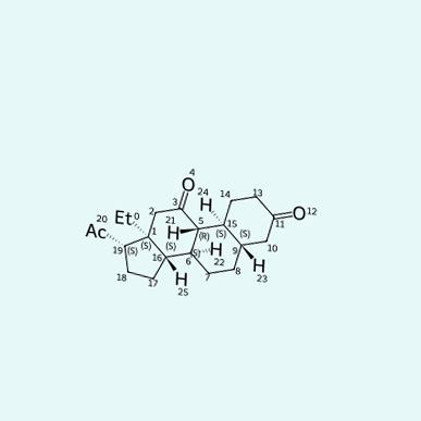 CC[C@]12CC(=O)[C@H]3[C@@H](CC[C@H]4CC(=O)CC[C@@H]43)[C@@H]1CC[C@@H]2C(C)=O